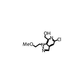 COCCn1ncc2cc(Cl)nc(CO)c21